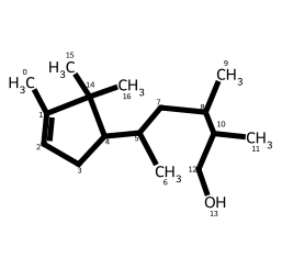 CC1=CCC(C(C)CC(C)C(C)CO)C1(C)C